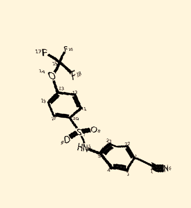 N#Cc1ccc(NS(=O)(=O)c2ccc(OC(F)(F)F)cc2)cc1